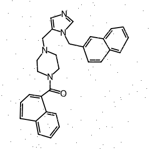 O=C(c1cccc2ccccc12)N1CCN(Cc2cncn2Cc2ccc3ccccc3c2)CC1